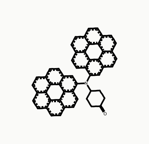 O=C1CCC(N(c2cc3ccc4ccc5ccc6ccc7ccc2c2c7c6c5c4c32)c2cc3ccc4ccc5ccc6ccc7ccc2c2c7c6c5c4c32)CC1